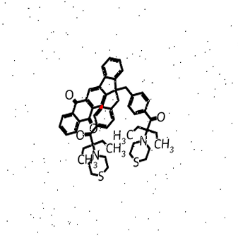 CCC(CC)(C(=O)c1ccc(CC2(Cc3ccc(C(=O)C(CC)(CC)N4CCSCC4)cc3)c3ccccc3-c3cc4c(cc32)C(=O)c2ccccc2C4=O)cc1)N1CCSCC1